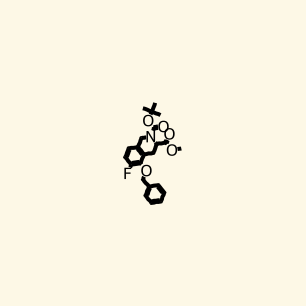 COC(=O)C1Cc2c(ccc(F)c2OCc2ccccc2)CN1C(=O)OC(C)(C)C